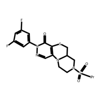 CC(C)S(=O)(=O)N1CCN2c3cnn(-c4cc(F)cc(F)c4)c(=O)c3SCC2C1